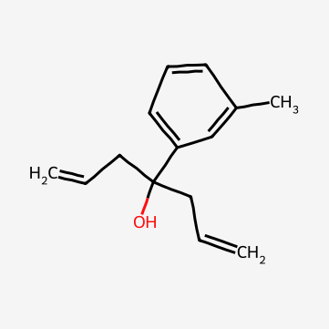 C=CCC(O)(CC=C)c1cccc(C)c1